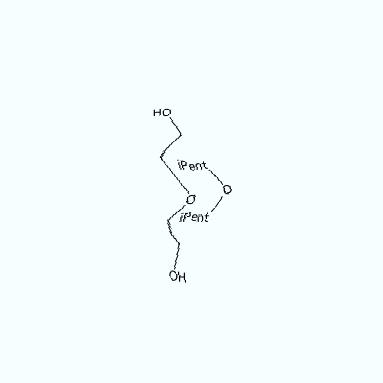 CCCC(C)OC(C)CCC.OCCOCCO